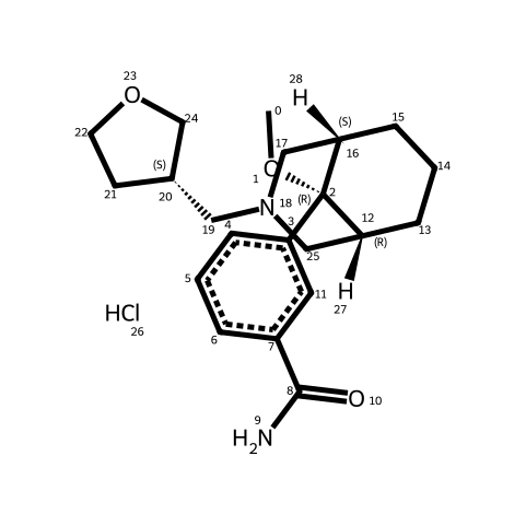 CO[C@@]1(c2cccc(C(N)=O)c2)[C@@H]2CCC[C@H]1CN(C[C@@H]1CCOC1)C2.Cl